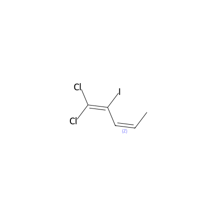 C/C=C\C(I)=C(Cl)Cl